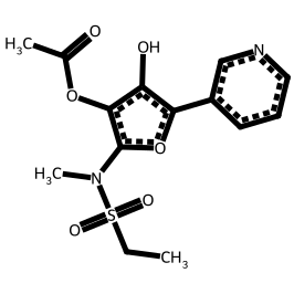 CCS(=O)(=O)N(C)c1oc(-c2cccnc2)c(O)c1OC(C)=O